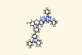 Cc1cc(C)c2c(c1)c1cc(-c3ccc4c(c3)c3ccccc3n4-c3ccccc3)ccc1n2-c1ccc(C2=NC(c3ccccc3)=NC(c3ccccc3)N2)cc1